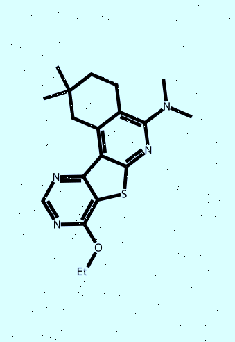 CCOc1ncnc2c1sc1nc(N(C)C)c3c(c12)CC(C)(C)CC3